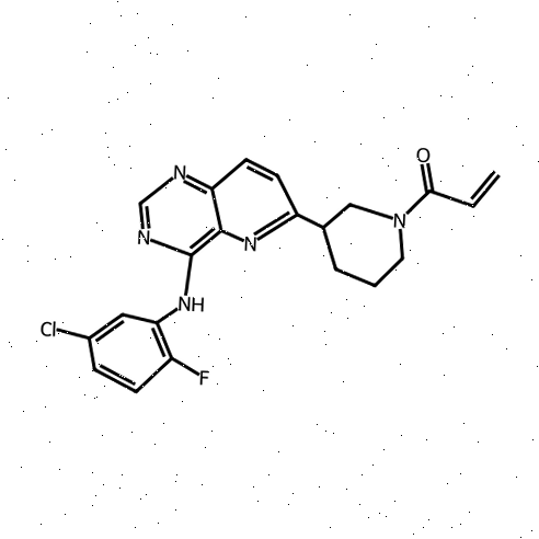 C=CC(=O)N1CCCC(c2ccc3ncnc(Nc4cc(Cl)ccc4F)c3n2)C1